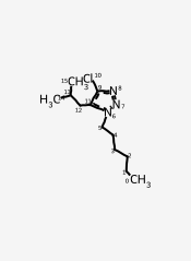 CCCCCCn1nnc(Cl)c1CC(C)C